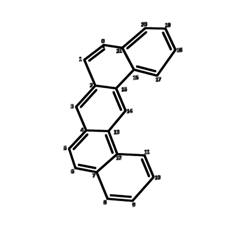 [c]1cc2cc3ccc4ccccc4c3cc2c2ccccc12